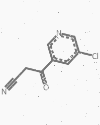 N#CCC(=O)c1cncc(Cl)c1